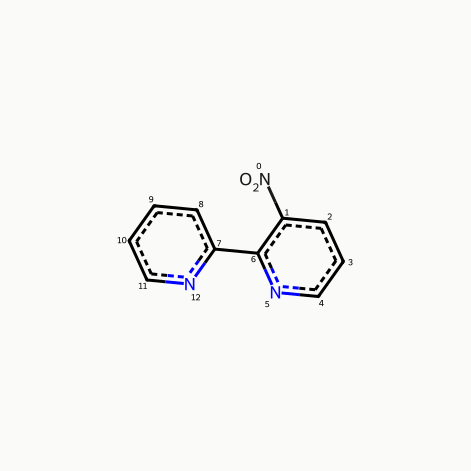 O=[N+]([O-])c1cccnc1-c1ccccn1